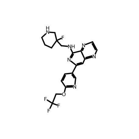 FC(F)(F)COc1ccc(-c2cc3nccnc3c(NCC3(F)CCCNC3)n2)cn1